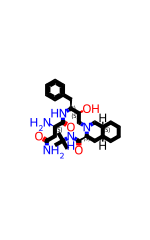 CC(C)(C)NC(=O)[C@@H]1C[C@@H]2CCCC[C@@H]2CN1C[C@H](O)[C@H](Cc1ccccc1)NC(=O)[C@@H](N)CC(N)=O